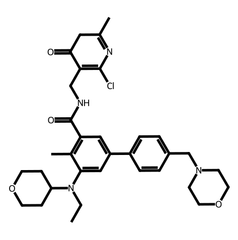 CCN(c1cc(-c2ccc(CN3CCOCC3)cc2)cc(C(=O)NCC2=C(Cl)N=C(C)CC2=O)c1C)C1CCOCC1